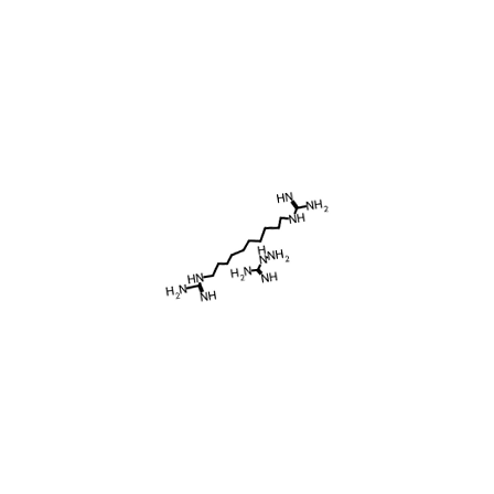 N=C(N)NCCCCCCCCCCNC(=N)N.N=C(N)NN